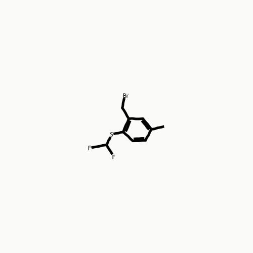 Cc1ccc(SC(F)F)c(CBr)c1